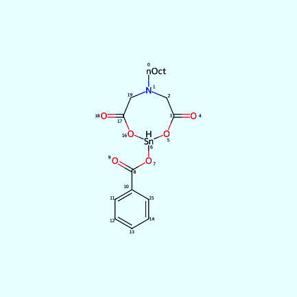 CCCCCCCCN1CC(=O)[O][SnH]([O]C(=O)c2ccccc2)[O]C(=O)C1